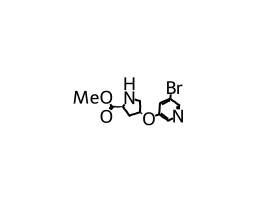 COC(=O)[C@@H]1C[C@@H](Oc2cncc(Br)c2)CN1